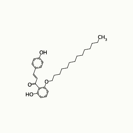 CCCCCCCCCCCCCCOc1cccc(O)c1C(=O)/C=C/c1ccc(O)cc1